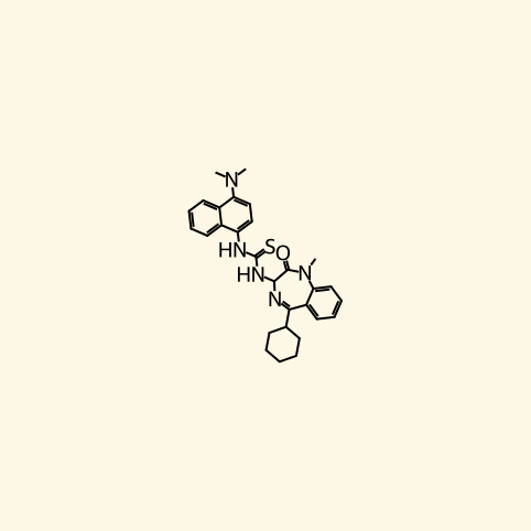 CN(C)c1ccc(NC(=S)NC2N=C(C3CCCCC3)c3ccccc3N(C)C2=O)c2ccccc12